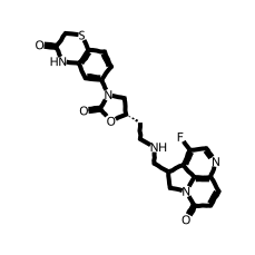 O=C1CSc2ccc(N3C[C@H](CCNCC4Cn5c(=O)ccc6ncc(F)c4c65)OC3=O)cc2N1